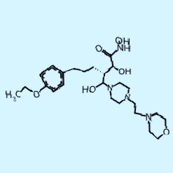 CCOc1ccc(CCC[C@@H](C(O)N2CCN(CCN3CCOCC3)CC2)[C@H](O)C(=O)NO)cc1